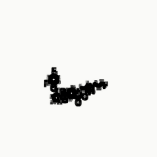 O=C1C(=O)N(Cc2cn(CCCF)nn2)c2ccc(S(=O)(=O)N3CCC[C@H]3COc3ccc(F)cc3F)cc21